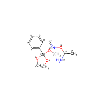 CO[Si](OC)(OC)c1ccccc1C=NOC(C)N